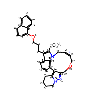 O=C(O)c1c(CCCOc2cccc3ccccc23)c2cccc3c2n1C/C=C\COCc1nn2c(c1-3)CCCC2